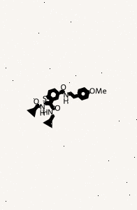 COc1ccc(CCNC(=O)C2CCc3sc(NC(=O)C4CC4)c(C(=O)NCC4CC4)c3C2)cc1